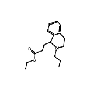 CCCN1CCc2ccccc2C1CCC(=O)OCC